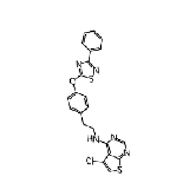 Clc1csc2ncnc(NCCc3ccc(Oc4nc(-c5ccccc5)ns4)cc3)c12